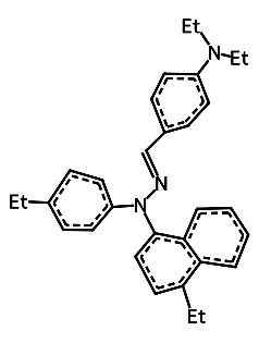 CCc1ccc(N(/N=C/c2ccc(N(CC)CC)cc2)c2ccc(CC)c3ccccc23)cc1